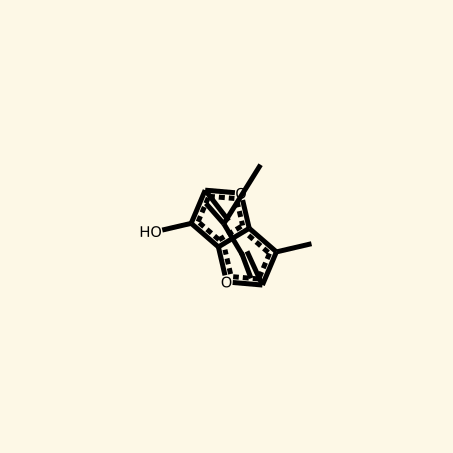 CC1=c2oc3c(C)c(oc3c2O)=C1